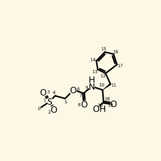 CS(=O)(=O)CCOC(=O)N[C@@H](Cc1ccccc1)C(=O)O